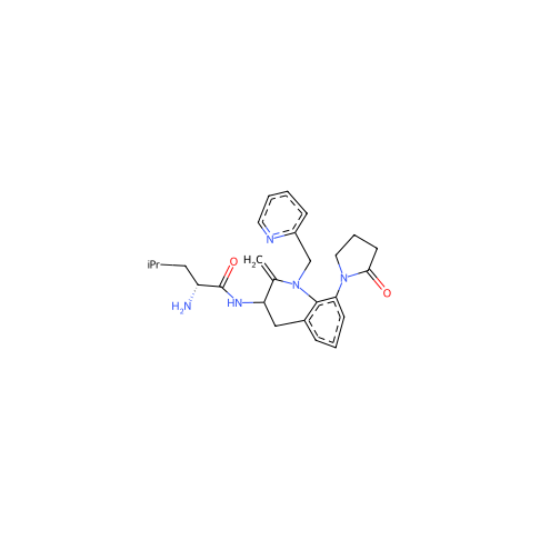 C=C1C(NC(=O)[C@H](N)CC(C)C)Cc2cccc(N3CCCC3=O)c2N1Cc1ccccn1